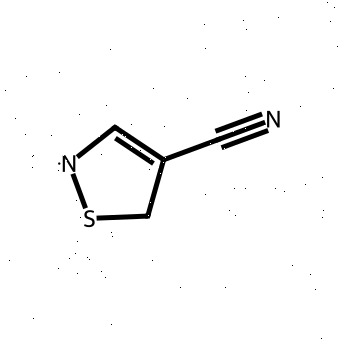 N#CC1=C[N]SC1